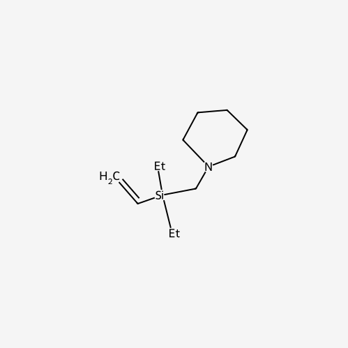 C=C[Si](CC)(CC)CN1CCCCC1